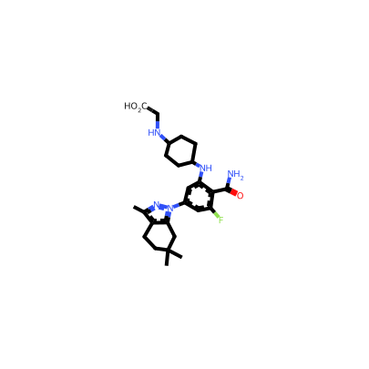 Cc1nn(-c2cc(F)c(C(N)=O)c(NC3CCC(NCC(=O)O)CC3)c2)c2c1CCC(C)(C)C2